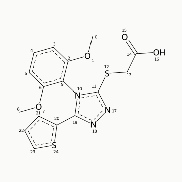 COc1cccc(OC)c1-n1c(SCC(=O)O)nnc1-c1cccs1